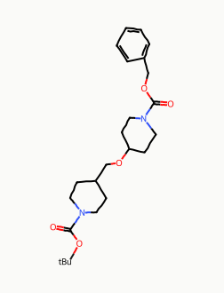 CC(C)(C)OC(=O)N1CCC(COC2CCN(C(=O)OCc3ccccc3)CC2)CC1